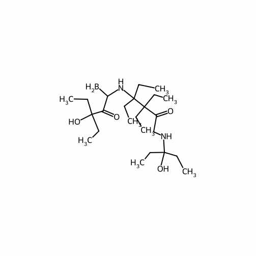 BC(NC(CC)(CC)C(CC)(CC)C(=O)CNC(O)(CC)CC)C(=O)C(O)(CC)CC